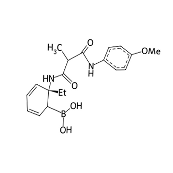 CC[C@]1(NC(=O)C(C)C(=O)Nc2ccc(OC)cc2)C=CC=CC1B(O)O